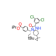 CC(C)OC(=O)c1ccc([C@@H](CCC(C)(C)C)N2C(=O)C(c3cc(Cl)cc(Cl)c3)NC23CCC(C2(C)CC2)CC3)cc1